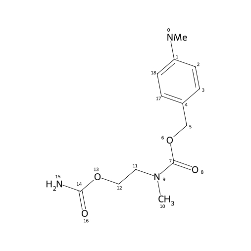 CNc1ccc(COC(=O)N(C)CCOC(N)=O)cc1